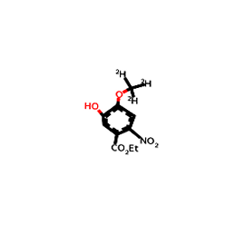 [2H]C([2H])([2H])Oc1cc([N+](=O)[O-])c(C(=O)OCC)cc1O